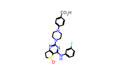 O=C(O)c1ccc(N2CCN(c3nc4c(c(Nc5cccc(F)c5)n3)[S+]([O-])CC4)CC2)cc1